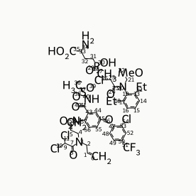 C=CCN(CC=C)C(=O)C(Cl)Cl.CCc1cccc(CC)c1N(COC)C(=O)CCl.CP(=O)(O)CCC(N)C(=O)O.CS(=O)(=O)NC(=O)c1cc(Oc2ccc(C(F)(F)F)cc2Cl)ccc1[N+](=O)[O-]